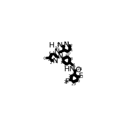 Cc1cnc2c(c1)nc(-c1cccnc1N)n2-c1ccc(CNC(=O)c2cc(F)ccc2F)cc1